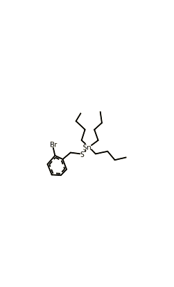 CCC[CH2][Sn]([CH2]CCC)([CH2]CCC)[S]Cc1ccccc1Br